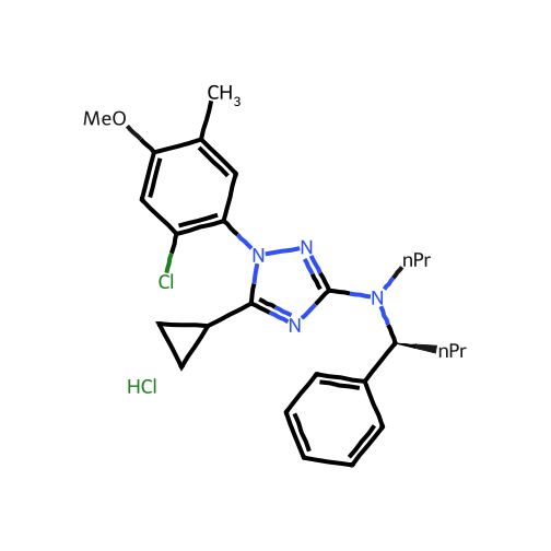 CCC[C@@H](c1ccccc1)N(CCC)c1nc(C2CC2)n(-c2cc(C)c(OC)cc2Cl)n1.Cl